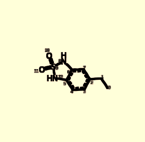 CCc1ccc2c(c1)NS(=O)(=O)N2